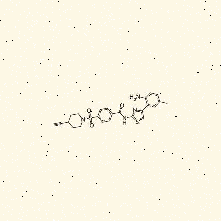 C#CC1CCN(S(=O)(=O)c2ccc(C(=O)Nc3nc(-c4cc(C)ccc4N)cs3)cc2)CC1